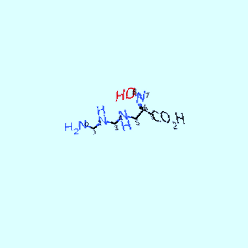 NCNCNC/C(=N\O)C(=O)O